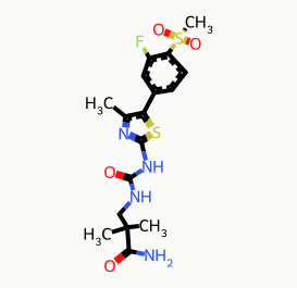 Cc1nc(NC(=O)NCC(C)(C)C(N)=O)sc1-c1ccc(S(C)(=O)=O)c(F)c1